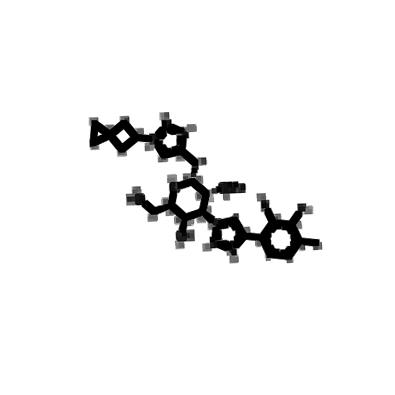 CO[C@@H]1[C@@H](n2cc(-c3ccc(C)c(F)c3F)nn2)[C@@H](O)[C@@H](CO)O[C@@H]1Cc1cn(C2CC3(CC3)C2)nn1